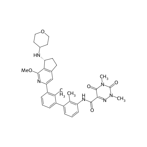 COc1nc(-c2cccc(-c3cccc(NC(=O)c4nn(C)c(=O)n(C)c4=O)c3C)c2C)cc2c1[C@H](NC1CCOCC1)CC2